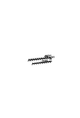 CCCCCCCCCCCC(O)CCCCCCCC.CCCCCCCCCCCCCCCCCC(=O)N[C@@H](CCC(=O)O)C(=O)O